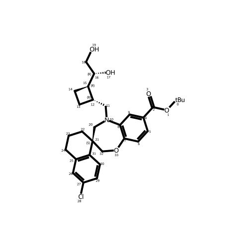 CC(C)(C)OC(=O)c1ccc2c(c1)N(C[C@@H]1CC[C@H]1[C@@H](O)CO)C[C@@]1(CCCc3cc(Cl)ccc31)CO2